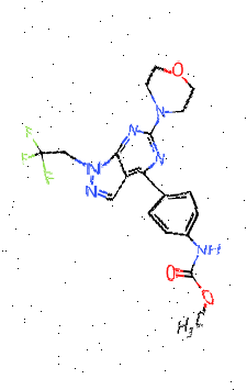 COC(=O)Nc1ccc(-c2nc(N3CCOCC3)nc3c2cnn3CC(F)(F)F)cc1